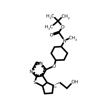 CN(C(=O)OC(C)(C)C)C1CCC(Oc2ncnc3c2C2C(CC[C@H]2CCO)S3)CC1